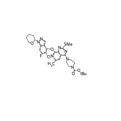 CSc1nc(N2CCN(C(=O)OC(C)(C)C)CC2)c2cc(C)nc(Oc3c(Cl)c(F)cc4c3cnn4C3CCCCO3)c2n1